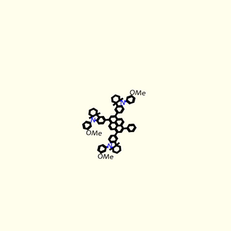 COc1cccc(N2c3ccc(-c4cc(-c5ccccc5)c5ccc6c(-c7ccc8c(c7)C7(C)CCCCC7(C)N8c7cccc(OC)c7)cc(-c7ccc8c(c7)C7(C)CCCCC7(C)N8c7cccc(OC)c7)c7ccc4c5c67)cc3C3(C)CCCCC23C)c1